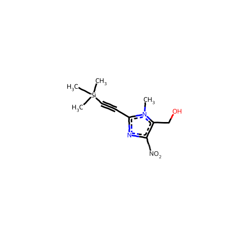 Cn1c(C#C[Si](C)(C)C)nc([N+](=O)[O-])c1CO